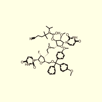 COc1ccc(C(OC[C@H]2O[C@@H](n3ccc(=O)[nH]c3=O)[C@H](F)[C@@H]2CCN(C)C[C@H]2O[C@@H](n3ccc(=O)[nH]c3=O)[C@H](OC)[C@@H]2OP(O)N(C(C)C)C(C)(C)CCC#N)(c2ccccc2)c2ccc(OC)cc2)cc1